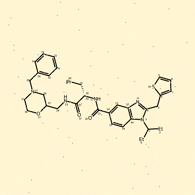 CCC(CC)n1c(Cc2cccs2)nc2cc(C(=O)N[C@@H](CC(C)C)C(=O)NCC3CN(Cc4ccccc4)CCO3)ccc21